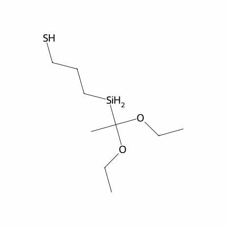 CCOC(C)(OCC)[SiH2]CCCS